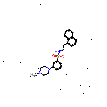 CN1CCN(c2cccc(S(=O)(=O)NCCc3cccc4ccccc34)c2)CC1